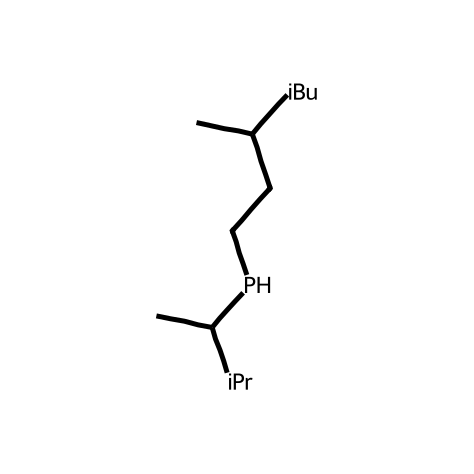 CCC(C)C(C)CCPC(C)C(C)C